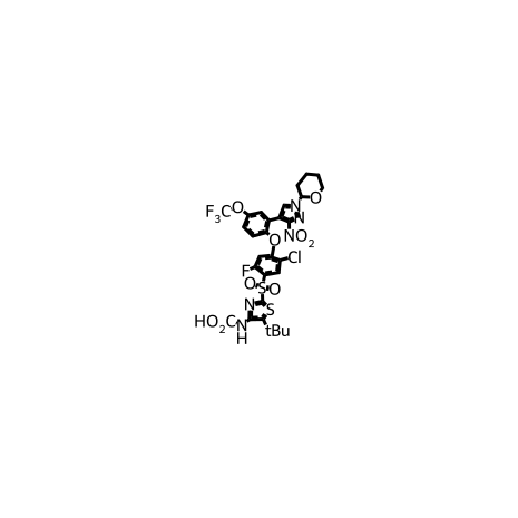 CC(C)(C)c1sc(S(=O)(=O)c2cc(Cl)c(Oc3ccc(OC(F)(F)F)cc3-c3cn(C4CCCCO4)nc3[N+](=O)[O-])cc2F)nc1NC(=O)O